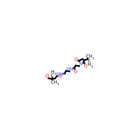 CC(C)C1CC(=O)N(CCC(=O)NCCCNOCCC(C)(C)C=O)C1=O